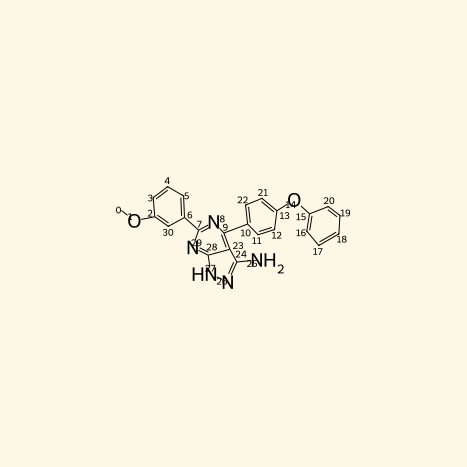 COc1cccc(-c2nc(-c3ccc(Oc4ccccc4)cc3)c3c(N)n[nH]c3n2)c1